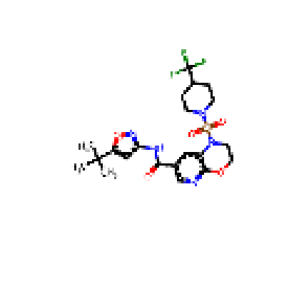 CC(C)(C)c1cc(NC(=O)c2cnc3c(c2)N(S(=O)(=O)N2CCC(C(F)(F)F)CC2)CCO3)no1